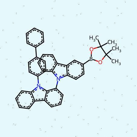 CC1(C)OB(c2ccc3c(c2)c2ccccc2n3-c2cccc3c4ccccc4n(-c4ccc(-c5ccccc5)cc4)c23)OC1(C)C